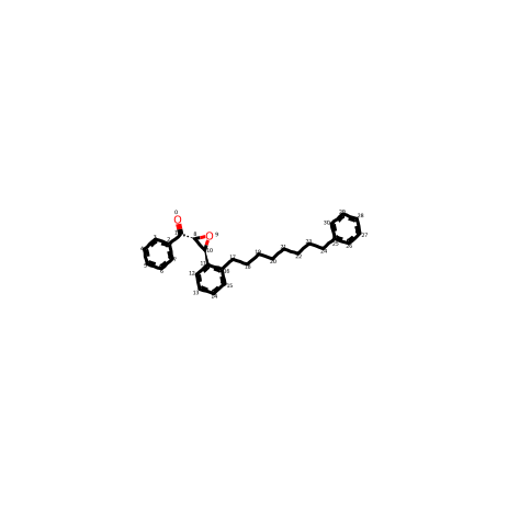 O=C(c1ccccc1)[C@@H]1O[C@H]1c1ccccc1CCCCCCCCc1ccccc1